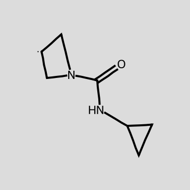 O=C(NC1CC1)N1C[CH]C1